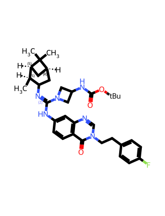 C[C@@H]1C(/N=C(/Nc2ccc3c(=O)n(CCc4ccc(F)cc4)cnc3c2)N2CC(NC(=O)OC(C)(C)C)C2)C[C@H]2C[C@@H]1C2(C)C